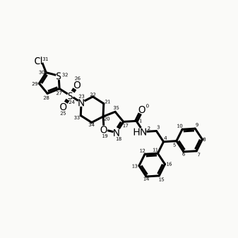 O=C(NCC(c1ccccc1)c1ccccc1)C1=NOC2(CCN(S(=O)(=O)c3ccc(Cl)s3)CC2)C1